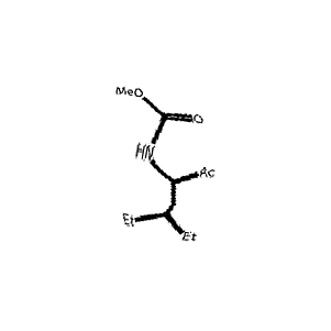 CCC(CC)C(NC(=O)OC)C(C)=O